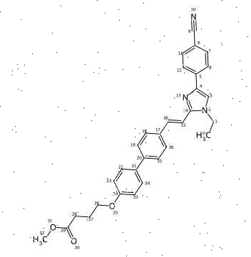 CCn1cc(-c2ccc(C#N)cc2)nc1C=Cc1ccc(-c2ccc(OCCCC(=O)OC)cc2)cc1